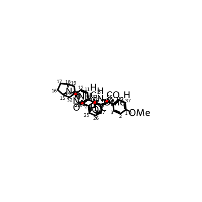 COc1ccc([C@](C)(NC(=O)c2ccc(N3C4CCC3CC(NC(=O)c3cccc(OC)c3C)C4)nc2)C(=O)O)cc1